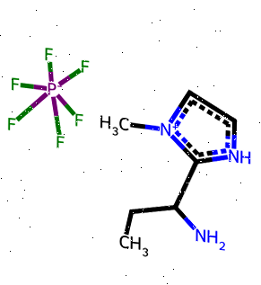 CCC(N)c1[nH]cc[n+]1C.F[P-](F)(F)(F)(F)F